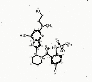 Cc1cc(N(C)CCO)nc2cc([C@@H]3CCCCN3C(O)c3cc(Cl)ccc3NS(C)(=O)=O)nn12